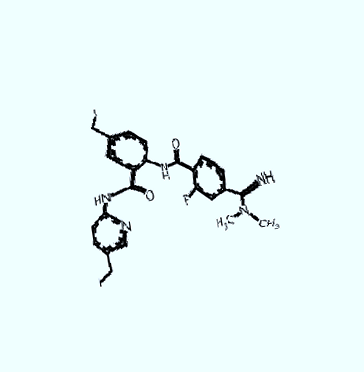 CN(C)C(=N)c1ccc(C(=O)Nc2ccc(CI)cc2C(=O)Nc2ccc(CI)cn2)c(F)c1